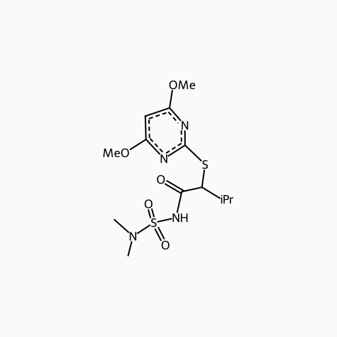 COc1cc(OC)nc(SC(C(=O)NS(=O)(=O)N(C)C)C(C)C)n1